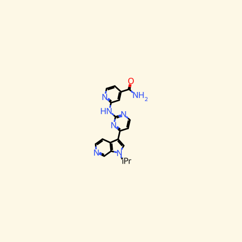 CC(C)n1cc(-c2ccnc(Nc3cc(C(N)=O)ccn3)n2)c2ccncc21